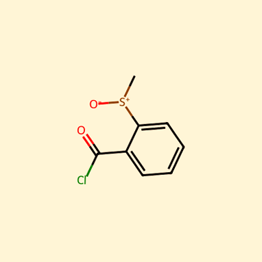 C[S+]([O-])c1ccccc1C(=O)Cl